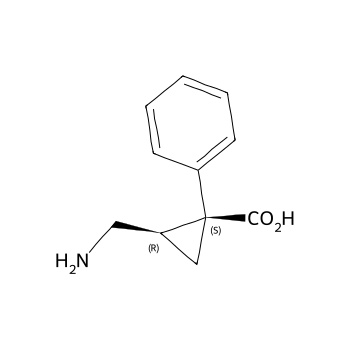 NC[C@@H]1C[C@@]1(C(=O)O)c1ccccc1